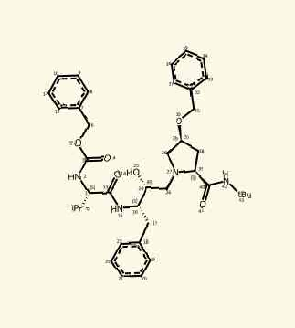 CC(C)[C@H](NC(=O)OCc1ccccc1)C(=O)N[C@@H](Cc1ccccc1)[C@H](O)CN1C[C@@H](OCc2ccccc2)C[C@H]1C(=O)NC(C)(C)C